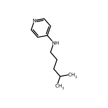 CC(C)CCCNc1ccncc1